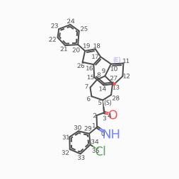 N=C(CC(=O)[C@H]1CCCC(/C2=C\CC=C=CC3=C2C=C(c2ccccc2)C3)CC1)c1ccccc1Cl